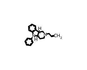 C=CCN1CC[C@@H]2[C@@H](C1)c1ccccc1N2c1ccccc1